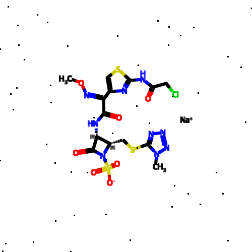 CON=C(C(=O)N[C@H]1C(=O)N(S(=O)(=O)[O-])[C@H]1CSc1nnnn1C)c1csc(NC(=O)CCl)n1.[Na+]